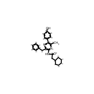 Cc1nc(NC(=O)CC2CCCCC2)c(Cc2ccccc2)nc1-c1ccc(O)cc1